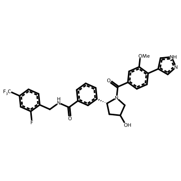 COc1cc(C(=O)N2CC(O)C[C@@H]2c2cccc(C(=O)NCc3ccc(C(F)(F)F)cc3F)c2)ccc1-c1cn[nH]c1